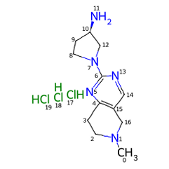 CN1CCc2nc(N3CC[C@@H](N)C3)ncc2C1.Cl.Cl.Cl